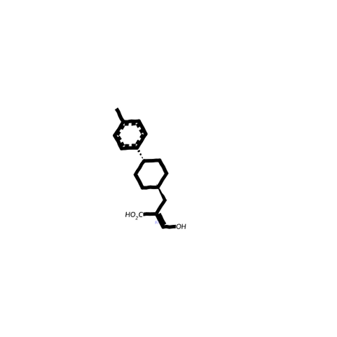 Cc1ccc([C@H]2CC[C@H](C/C(=C\O)C(=O)O)CC2)cc1